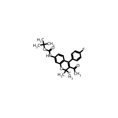 CC(=O)C1=C(c2ccc(F)cc2)c2ccc(NC(=O)OC(C)(C)C)cc2OC1(C)C